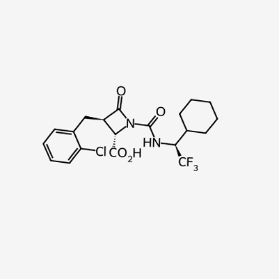 O=C(O)[C@@H]1[C@@H](Cc2ccccc2Cl)C(=O)N1C(=O)N[C@@H](C1CCCCC1)C(F)(F)F